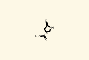 CC(=O)[C@H]1CNC(=O)C1